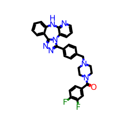 O=C(c1ccc(F)c(F)c1)N1CCN(Cc2ccc(-c3nnc4n3-c3cccnc3Nc3ccccc3-4)cc2)CC1